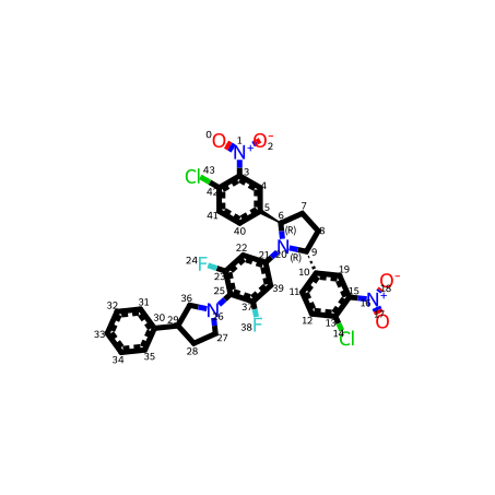 O=[N+]([O-])c1cc([C@H]2CC[C@H](c3ccc(Cl)c([N+](=O)[O-])c3)N2c2cc(F)c(N3CCC(c4ccccc4)C3)c(F)c2)ccc1Cl